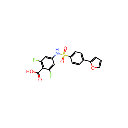 O=C(O)c1c(F)cc(NS(=O)(=O)c2ccc(-c3ccco3)cc2)cc1F